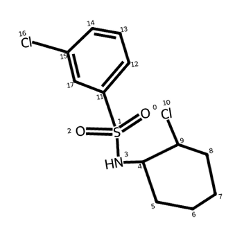 O=S(=O)(NC1CCCCC1Cl)c1cccc(Cl)c1